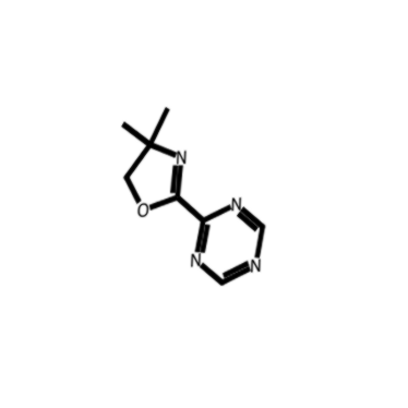 CC1(C)COC(c2ncncn2)=N1